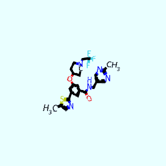 Cc1ncc(CNC(=O)c2cc(OC3CCN(CC(F)(F)F)CC3)cc(-c3ncc(C)s3)c2)cn1